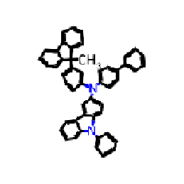 CC1(c2cccc(N(c3ccc(-c4ccccc4)cc3)c3ccc4c(c3)c3ccccc3n4-c3ccccc3)c2)c2ccccc2-c2ccccc21